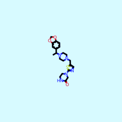 CC(c1ccc2c(c1)OCO2)N1CCN(Cc2cnc(N3CCNC(=O)C3)s2)CC1